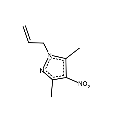 C=CCn1nc(C)c([N+](=O)[O-])c1C